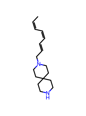 C\C=C/C=C\C=C\CN1CCC2(CCNCC2)CC1